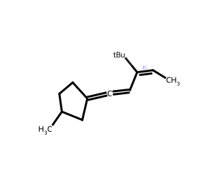 C/C=C(\C=C=C1CCC(C)C1)C(C)(C)C